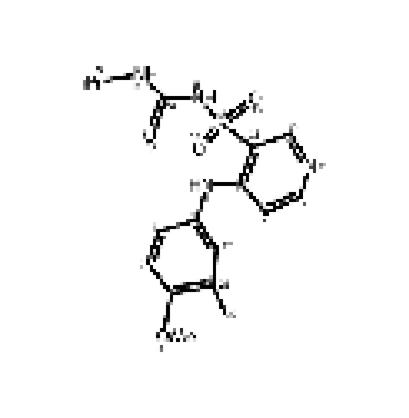 COc1ccc(Nc2ccncc2S(=O)(=O)NC(=O)NC(C)C)cc1C